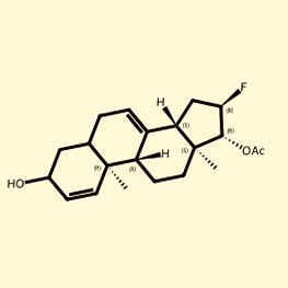 CC(=O)O[C@H]1[C@H](F)C[C@H]2C3=CCC4CC(O)C=C[C@]4(C)[C@H]3CC[C@@]21C